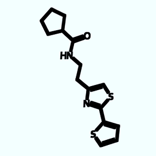 O=C(NCCc1csc(-c2cccs2)n1)C1CCCC1